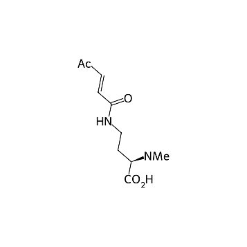 CN[C@H](CCNC(=O)/C=C/C(C)=O)C(=O)O